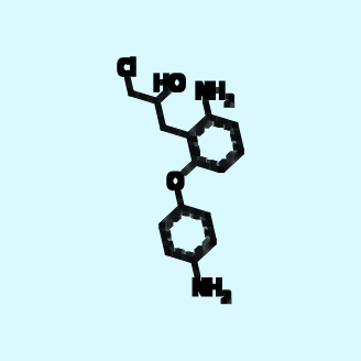 Nc1ccc(Oc2cccc(N)c2CC(O)CCl)cc1